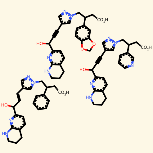 O=C(O)CC(Cn1cc(C#CC(O)c2ccc3c(n2)NCCC3)cn1)c1ccc2c(c1)OCO2.O=C(O)CC(Cn1cc(C#CC(O)c2ccc3c(n2)NCCC3)cn1)c1cccnc1.O=C(O)CC(Cn1cc(C=CC(O)c2ccc3c(n2)NCCC3)cn1)c1ccccc1